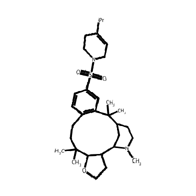 CC(C)C1=CCN(S(=O)(=O)c2ccc3c(c2)C(C)(C)C2CCN(C)C(C2)C2CCOC2C(C)(C)CC3)CC1